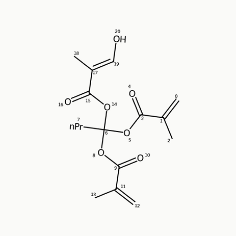 C=C(C)C(=O)OC(CCC)(OC(=O)C(=C)C)OC(=O)C(C)=CO